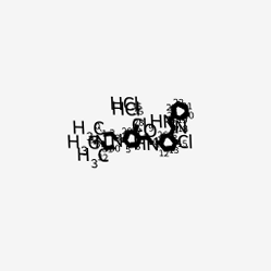 C[C@@H]1CN(c2ccc(C(=O)Nc3ccc(Cl)c(-c4nc5ccccc5[nH]4)c3)c(Cl)c2)C[C@H](C)N1C.Cl.Cl